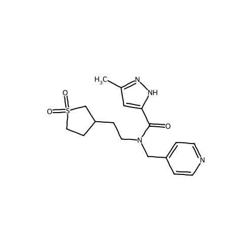 Cc1cc(C(=O)N(CCC2CCS(=O)(=O)C2)Cc2ccncc2)[nH]n1